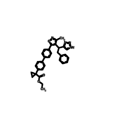 CCOC(=O)C1(c2ccc(-c3ccc(-c4onc(C)c4C(Cc4ccccc4)c4c[nH]nn4)cc3)cc2)CC1